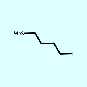 CSCCCCI